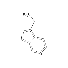 O=C(O)Cc1ccc2coccc1-2